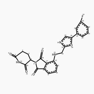 O=C1CCC(N2C(=O)c3cccc(NCc4ncc(-c5cccc(F)c5)o4)c3C2=O)C(=O)N1